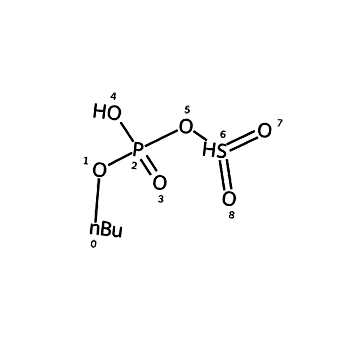 CCCCOP(=O)(O)O[SH](=O)=O